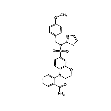 COc1ccc(CN(c2nccs2)S(=O)(=O)c2ccc3c(c2)OCCN3c2ccccc2C(N)=O)cc1